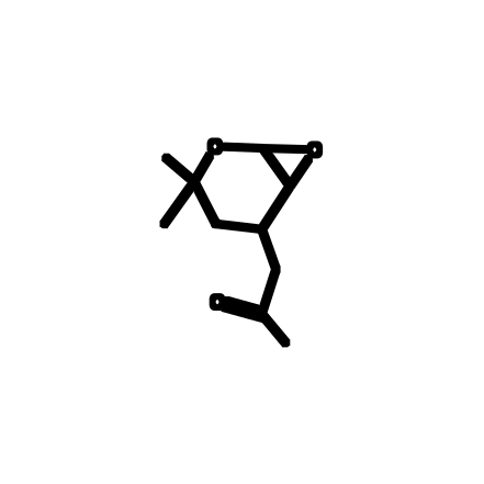 CC(=O)CC1CC(C)(C)OC2OC12